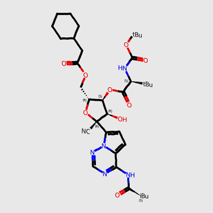 CC[C@H](C)C(=O)Nc1ncnn2c([C@]3(C#N)O[C@H](COC(=O)CC4CCCCC4)[C@@H](OC(=O)[C@@H](NC(=O)OC(C)(C)C)C(C)(C)C)[C@H]3O)ccc12